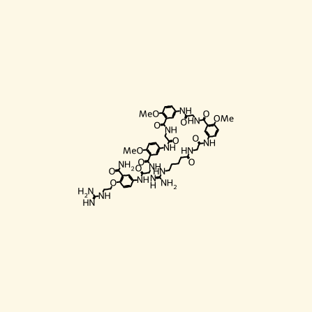 COc1ccc(NC(=O)CNC(=O)CCCCNC(=N)N)cc1C(=O)NCC(=O)Nc1ccc(OC)c(C(=O)NCC(=O)Nc2ccc(OC)c(C(=O)NCC(=O)Nc3ccc(OCCNC(=N)N)c(C(N)=O)c3)c2)c1